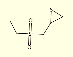 CCS(=O)(=O)CC1CS1